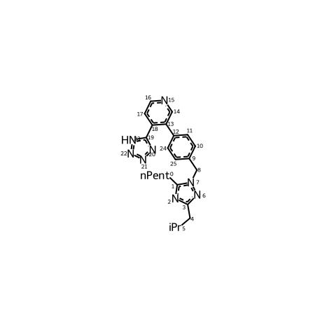 CCCCCc1nc(CC(C)C)nn1Cc1ccc(-c2cnccc2-c2nnn[nH]2)cc1